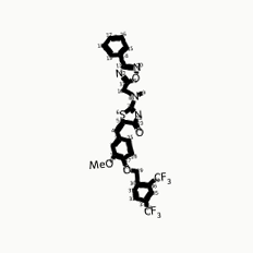 COc1cc(/C=C2/SC(N(C)Cc3nc(-c4ccccc4)no3)=NC2=O)ccc1OCc1ccc(C(F)(F)F)cc1C(F)(F)F